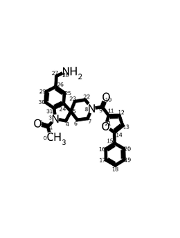 CC(=O)N1CC2(CCN(C(=O)c3ccc(-c4ccccc4)o3)CC2)c2cc(CN)ccc21